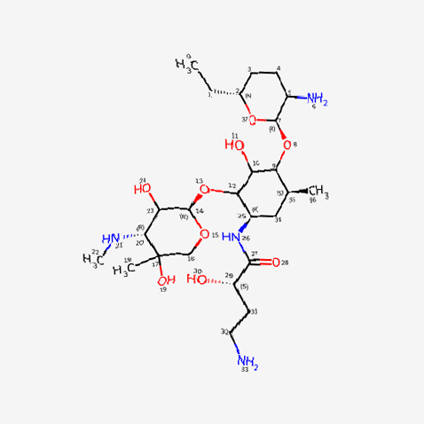 CC[C@@H]1CCC(N)[C@@H](OC2C(O)C(O[C@H]3OCC(C)(O)[C@H](NC)C3O)[C@H](NC(=O)[C@@H](O)CCN)C[C@@H]2C)O1